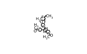 C=C(OC1CCN(c2nc3c(nc2C2CCN(C(C)=O)CC2)CN(C(C)=O)CC3)CC1)/C(F)=C\C(F)=C/C